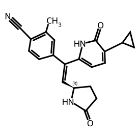 Cc1cc(C(=C[C@H]2CCC(=O)N2)c2ccc(C3CC3)c(=O)[nH]2)ccc1C#N